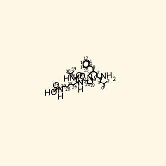 CC(C)CC(N)/C=C/C(Cc1ccccc1)CN1CCC[C@H]1C(=O)NC(CCCCNC(=O)O)C(=O)NC(C)C